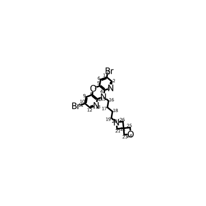 Brc1cnc2c(c1)Oc1cc(Br)cnc1N2CCCCN1CC2(COC2)C1